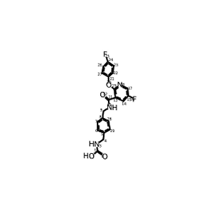 O=C(O)NCc1ccc(CNC(=O)c2cc(F)cnc2Oc2ccc(F)cc2)cc1